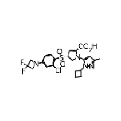 Cc1cc(N2C[C@H](S(=O)(=O)c3ccc(N4CC(F)(F)C4)cc3Cl)C[C@H]2C(=O)O)n(C2CCC2)n1